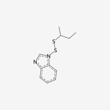 CCC(C)SSn1cnc2ccccc21